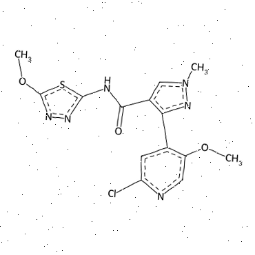 COc1nnc(NC(=O)c2cn(C)nc2-c2cc(Cl)ncc2OC)s1